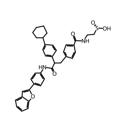 O=C(NCCS(=O)O)c1ccc(CC(C(=O)Nc2ccc(-c3cc4ccccc4o3)cc2)c2ccc(C3CCCCC3)cc2)cc1